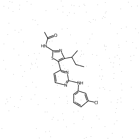 CCC(C)c1nc(NC(C)=O)sc1-c1ccnc(Nc2cccc(Cl)c2)n1